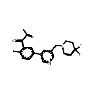 CC(=O)C(=N)c1cc(-c2cncc(CN3CCC(F)(F)CC3)c2)ccc1C